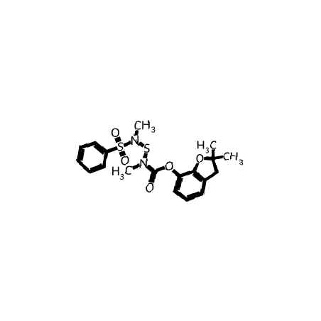 CN(SN(C)S(=O)(=O)c1ccccc1)C(=O)Oc1cccc2c1OC(C)(C)C2